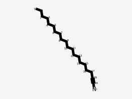 CCCCCCCCCCCCCCCCCCC#C[N]